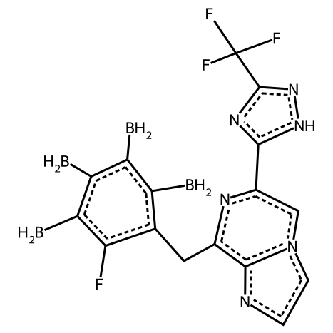 Bc1c(B)c(B)c(Cc2nc(-c3nc(C(F)(F)F)n[nH]3)cn3ccnc23)c(F)c1B